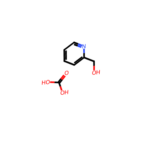 O=C(O)O.OCc1ccccn1